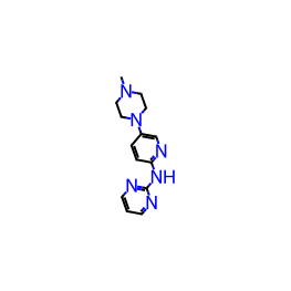 CN1CCN(c2ccc(Nc3ncccn3)nc2)CC1